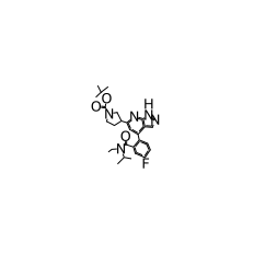 CCN(C(=O)c1cc(F)ccc1-c1cc(C2CCN(C(=O)OC(C)(C)C)C2)nc2[nH]ncc12)C(C)C